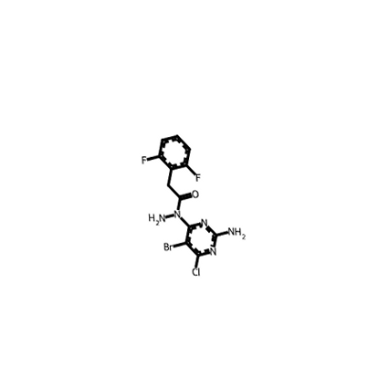 Nc1nc(Cl)c(Br)c(N(N)C(=O)Cc2c(F)cccc2F)n1